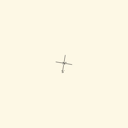 C[N+](C)(C)[S-]